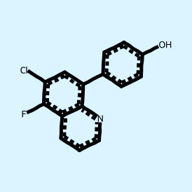 Oc1ccc(-c2cc(Cl)c(F)c3cccnc23)cc1